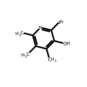 Cc1nc(C(C)C)c(O)c(C)c1C